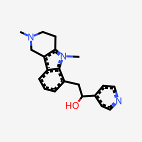 CN1CCc2c(c3cccc(CC(O)c4ccncc4)c3n2C)C1